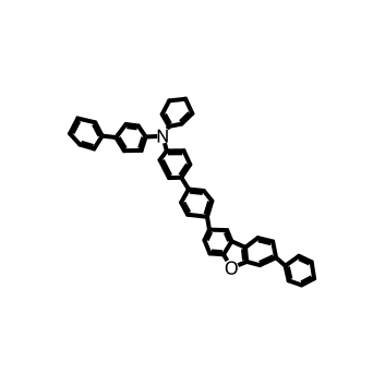 C1=CC(N(c2ccc(-c3ccccc3)cc2)c2ccc(-c3ccc(-c4ccc5oc6cc(-c7ccccc7)ccc6c5c4)cc3)cc2)=CCC1